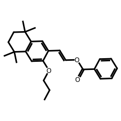 CCCOc1cc2c(cc1C=COC(=O)c1ccccc1)C(C)(C)CCC2(C)C